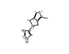 Cc1scc2c1CN(c1c[nH]cn1)C2